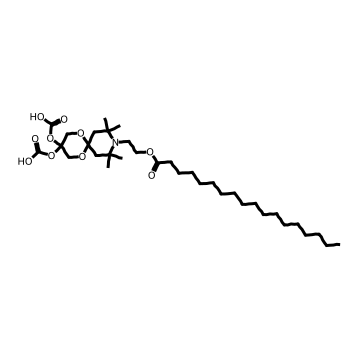 CCCCCCCCCCCCCCCCCC(=O)OCCN1C(C)(C)CC2(CC1(C)C)OCC(OC(=O)O)(OC(=O)O)CO2